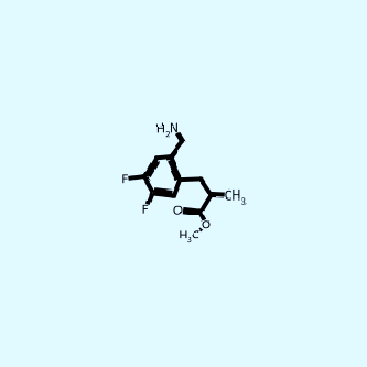 COC(=O)C(C)Cc1cc(F)c(F)cc1CN